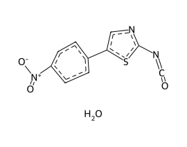 O.O=C=Nc1ncc(-c2ccc([N+](=O)[O-])cc2)s1